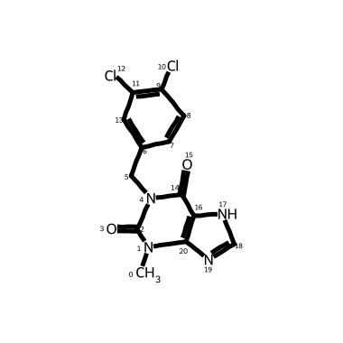 Cn1c(=O)n(Cc2ccc(Cl)c(Cl)c2)c(=O)c2[nH]cnc21